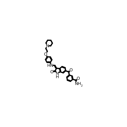 NC(=O)c1cccc(C(=O)c2ccc3c(c2)NC(=O)C3=CNc2ccc(OCCN3CCCCC3)cc2)c1